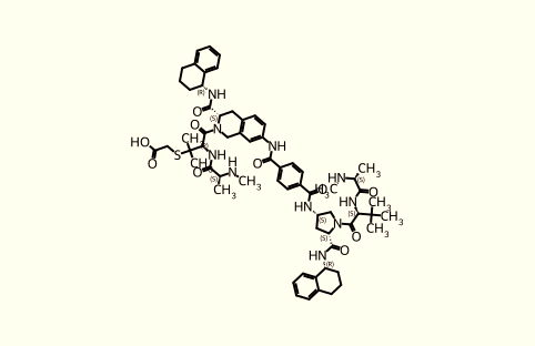 CN[C@@H](C)C(=O)N[C@H](C(=O)N1C[C@@H](NC(=O)c2ccc(C(=O)Nc3ccc4c(c3)CN(C(=O)[C@@H](NC(=O)[C@H](C)NC)C(C)(C)SCC(=O)O)[C@H](C(=O)N[C@@H]3CCCc5ccccc53)C4)cc2)C[C@H]1C(=O)N[C@@H]1CCCc2ccccc21)C(C)(C)C